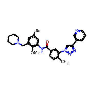 COc1c(CN2CCCCC2)cc(C(C)(C)C)cc1NC(=O)c1ccc(C)c(-n2cc(-c3cccnc3)nn2)c1